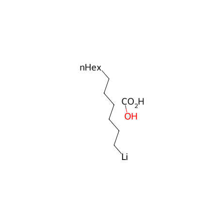 O=C(O)O.[Li][CH2]CCCCCCCCCCC